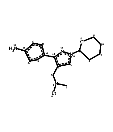 [CH2]CN(C)Cc1cn(C2CCCCO2)nc1-c1ccc(N)cc1